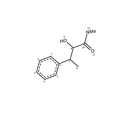 [CH2]C(c1ccccc1)C(O)C(=O)NC